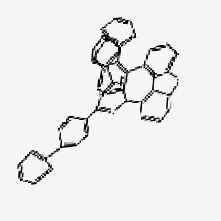 c1ccc(C2=NC(c3ccc(-c4ccccc4)cc3)=NC(c3cccc4oc5cccc(-c6cccc7sc8ccccc8c67)c5c34)N2)cc1